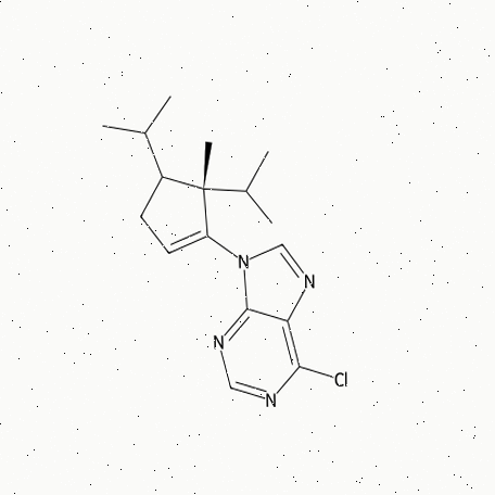 CC(C)C1CC=C(n2cnc3c(Cl)ncnc32)[C@@]1(C)C(C)C